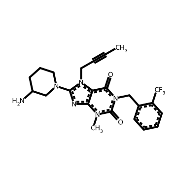 CC#CCn1c(N2CCCC(N)C2)nc2c1c(=O)n(Cc1ccccc1C(F)(F)F)c(=O)n2C